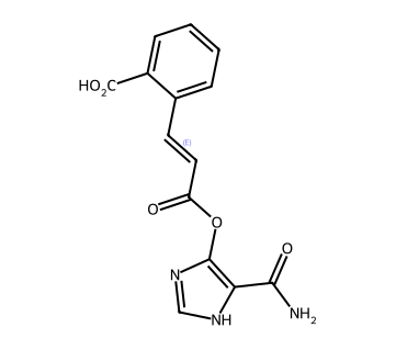 NC(=O)c1[nH]cnc1OC(=O)/C=C/c1ccccc1C(=O)O